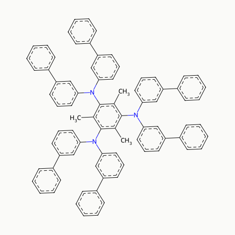 Cc1c(N(c2cccc(-c3ccccc3)c2)c2cccc(-c3ccccc3)c2)c(C)c(N(c2cccc(-c3ccccc3)c2)c2cccc(-c3ccccc3)c2)c(C)c1N(c1cccc(-c2ccccc2)c1)c1cccc(-c2ccccc2)c1